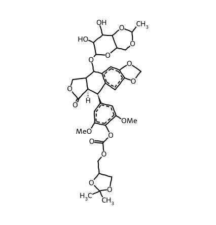 COc1cc([C@@H]2c3cc4c(cc3C(OC3OC5COC(C)OC5C(O)C3O)C3COC(=O)[C@@H]32)OCO4)cc(OC)c1OC(=O)OCC1COC(C)(C)O1